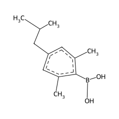 Cc1cc(CC(C)C)cc(C)c1B(O)O